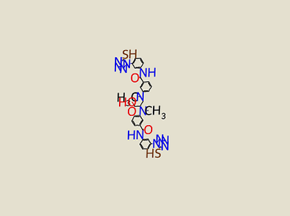 CN(CC(C(=O)O)N(C)c1cccc(C(=O)Nc2cccc(-n3nnnc3S)c2)c1)c1cccc(C(=O)Nc2cccc(-n3nnnc3S)c2)c1